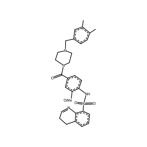 COc1cc(C(=O)N2CCN(Cc3ccc(C)c(C)c3)CC2)ccc1NS(=O)(=O)c1cccc2c1N=CCC2